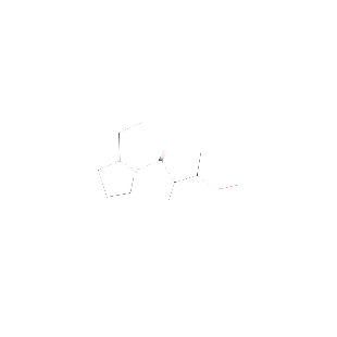 CCC1CC[C@@H](C)N1C(=O)C(C)C(C)OC